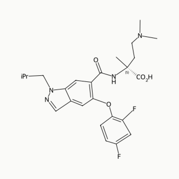 CC(C)Cn1ncc2cc(Oc3ccc(F)cc3F)c(C(=O)N[C@@](C)(CCN(C)C)C(=O)O)cc21